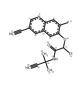 C#Cc1cnc2cc(F)c(OC(CC)C(=O)NC(C)(C)C#C)cc2c1